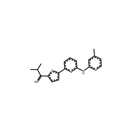 Cc1ccnc(Nc2cccc(-c3ccc(C(=N)C(C)C)s3)n2)c1